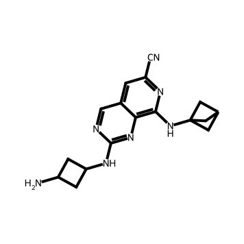 N#Cc1cc2cnc(NC3CC(N)C3)nc2c(NC23CC(C2)C3)n1